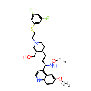 CON[C@H](CC[C@@H]1CCN(CCSc2cc(F)cc(F)c2)C[C@@H]1CO)c1ccnc2ccc(OC)cc12